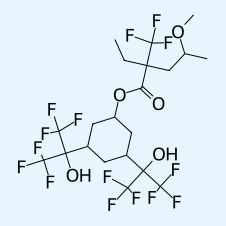 CCC(CC(C)OC)(C(=O)OC1CC(C(O)(C(F)(F)F)C(F)(F)F)CC(C(O)(C(F)(F)F)C(F)(F)F)C1)C(F)(F)F